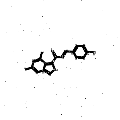 Cc1cc(C)c2c(C(=O)C=Cc3ccc(Cl)cc3)occ2c1